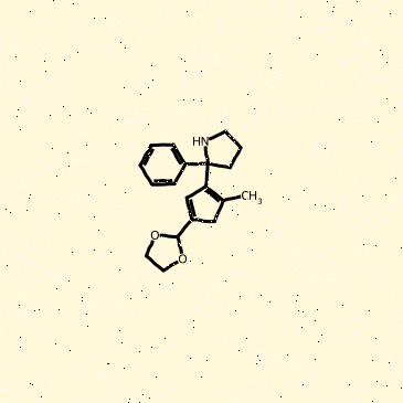 CC1=C(C2(c3ccccc3)CCCN2)C=C(C2OCCO2)C1